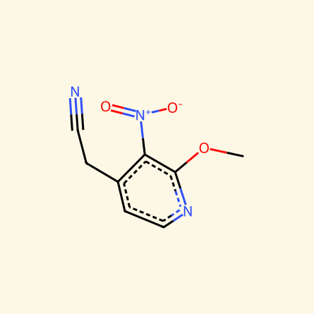 COc1nccc(CC#N)c1[N+](=O)[O-]